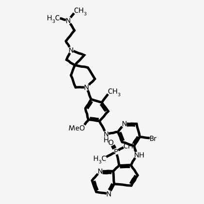 COc1cc(N2CCC3(CC2)CN(CCN(C)C)C3)c(C)cc1Nc1cc(Nc2ccc3nccnc3c2P(C)(C)=O)c(Br)cn1